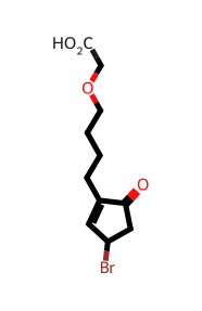 O=C(O)COCCCCC1=CC(Br)CC1=O